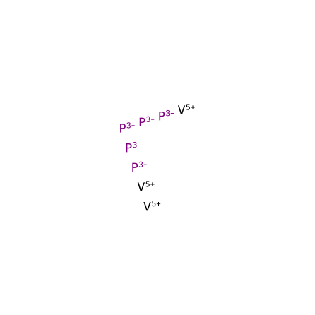 [P-3].[P-3].[P-3].[P-3].[P-3].[V+5].[V+5].[V+5]